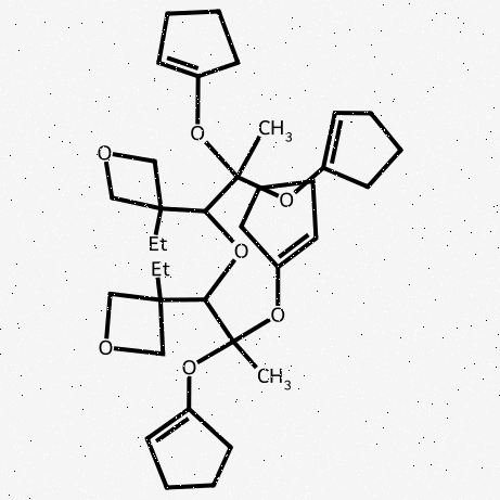 CCC1(C(OC(C2(CC)COC2)C(C)(OC2=CCCC2)OC2=CCCC2)C(C)(OC2=CCCC2)OC2=CCCC2)COC1